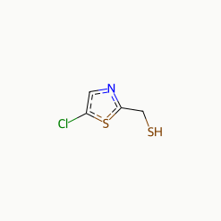 SCc1ncc(Cl)s1